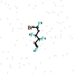 FC=CC(F)C(F)CC(F)Br